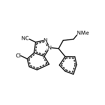 CNCCC(c1ccccc1)n1nc(C#N)c2c(Cl)cccc21